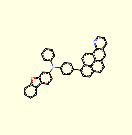 c1ccc(N(c2ccc(-c3ccc4ccc5cc6cccnc6c6ccc3c4c56)cc2)c2ccc3c(c2)oc2ccccc23)cc1